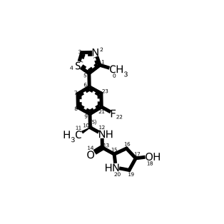 Cc1ncsc1-c1ccc([C@H](C)NC(=O)C2CC(O)CN2)c(F)c1